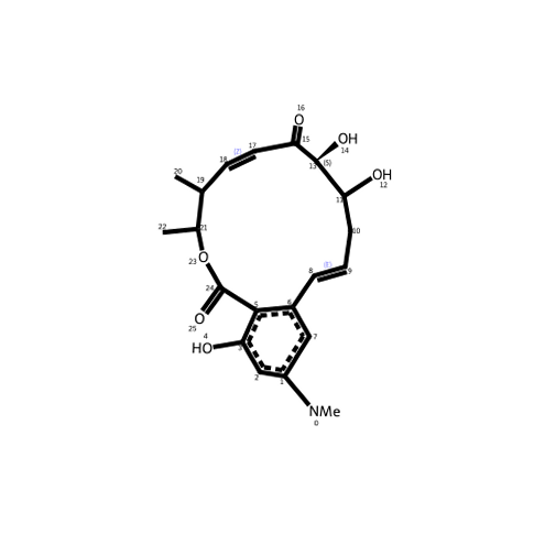 CNc1cc(O)c2c(c1)/C=C/CC(O)[C@H](O)C(=O)/C=C\C(C)C(C)OC2=O